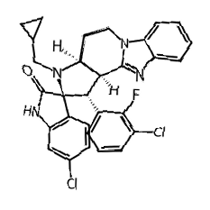 O=C1Nc2cc(Cl)ccc2[C@@]12[C@@H](c1cccc(Cl)c1F)[C@@H]1c3nc4ccccc4n3CC[C@@H]1N2CC1CC1